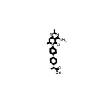 Cc1nc(N)c2c(n1)CC(C)N(c1ccc([C@H]3CC[C@H](C(C)C(=O)O)CC3)cc1)C2=O